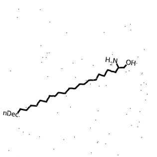 CCCCCCCCCCCCCCCCCCCCCCCCCCCCCCC(N)CO